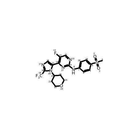 CS(=O)(=O)c1ccc(Nc2ncc(F)c(-c3cnc(C(F)(F)F)n3C3CCOCC3)n2)cc1